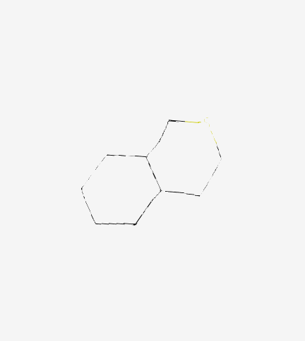 C1CCC2CSCCC2C1